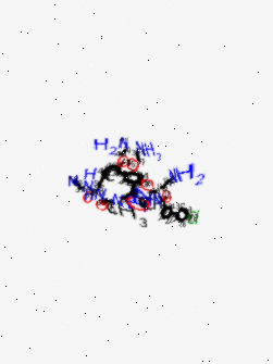 C[C@@H]1NC(=O)[C@@H](N(C)C(=O)[C@H](CCCCN)NC(=O)c2cccc(-c3ccc(Cl)cc3)c2)c2ccc(OCCN)c(c2)-c2cc(ccc2OCCN)C[C@@H](C(=O)NCC#N)NC1=O